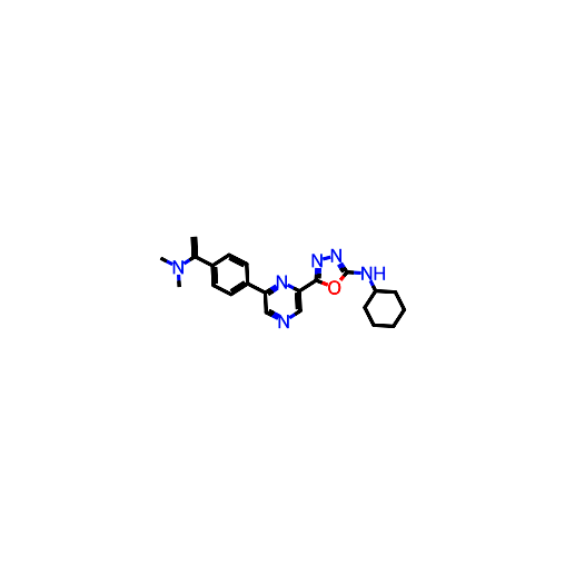 C=C(c1ccc(-c2cncc(-c3nnc(NC4CCCCC4)o3)n2)cc1)N(C)C